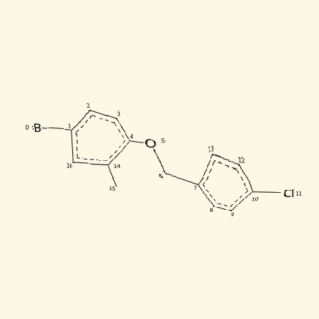 [B]c1ccc(OCc2ccc(Cl)cc2)c(C)c1